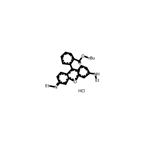 CCCCOC(=O)c1ccccc1-c1c2ccc(=NCC)cc-2oc2cc(NCC)ccc12.Cl